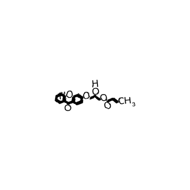 CC=CC(=O)OCC(O)COc1ccc(C(=O)c2ccccc2)c(O)c1